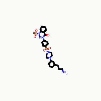 CN(c1ccccc1C(=O)Nc1ccc(S(=O)(=O)N2CCN(c3cccc(CCCN)c3)CC2)cc1)S(C)(=O)=O